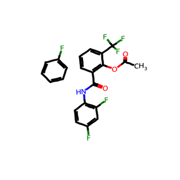 CC(=O)Oc1c(C(=O)Nc2ccc(F)cc2F)cccc1C(F)(F)F.Fc1ccccc1